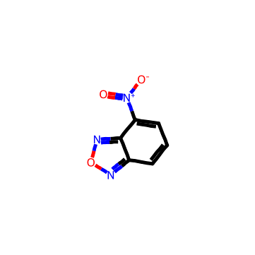 O=[N+]([O-])c1cccc2nonc12